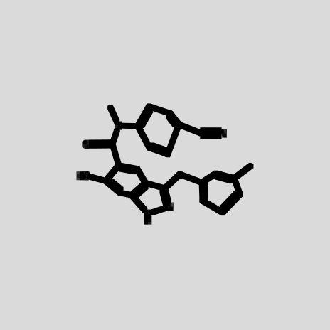 Cc1cccc(Cc2n[nH]c3cc(O)c(C(=O)N(C)c4ccc(C#N)cc4)cc23)c1